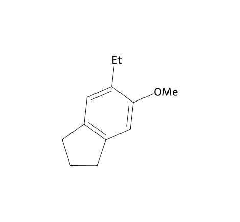 CCc1cc2c(cc1OC)CCC2